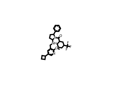 COc1ncc(C2CCC2)cc1CNC1CCC(c2ccccc2)N1C(=O)C1CCCC(C(F)(F)F)C1